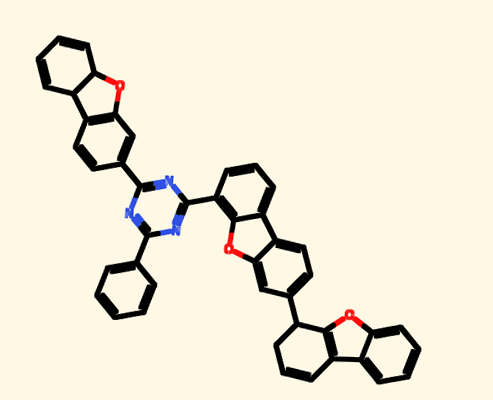 C1=CC2Oc3cc(-c4nc(-c5ccccc5)nc(-c5cccc6c5oc5cc(C7CC=Cc8c7oc7ccccc87)ccc56)n4)ccc3C2C=C1